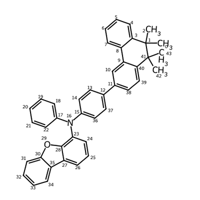 CC1(C)c2ccccc2-c2cc(-c3ccc(N(c4ccccc4)c4cccc5c4oc4ccccc45)cc3)ccc2C1(C)C